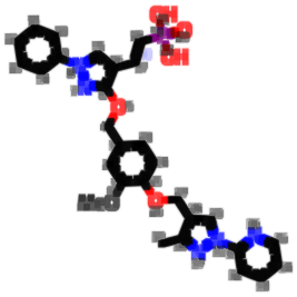 COc1cc(COc2nn(-c3ccccc3)cc2/C=C/P(=O)(O)O)ccc1OCc1cn(-c2ccccn2)nc1C